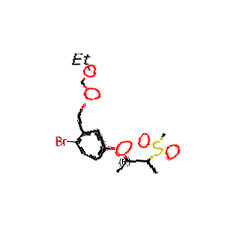 CCOCOCc1cc(O[C@H](C)C(C)S(C)(=O)=O)ccc1Br